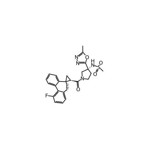 Cc1nnc([C@@]2(NS(C)(=O)=O)CCN(C(=O)[C@@H]3C[C@@]3(F)c3ccccc3-c3c(F)cccc3F)C2)o1